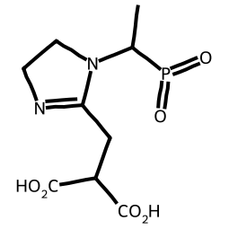 CC(N1CCN=C1CC(C(=O)O)C(=O)O)P(=O)=O